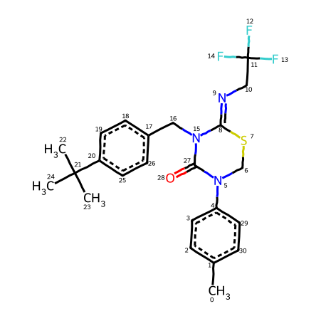 Cc1ccc(N2CSC(=NCC(F)(F)F)N(Cc3ccc(C(C)(C)C)cc3)C2=O)cc1